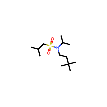 CC(C)CS(=O)(=O)N(CCC(C)(C)C)C(C)C